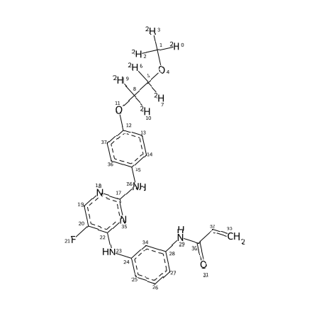 [2H]C([2H])([2H])OC([2H])([2H])C([2H])([2H])Oc1ccc(Nc2ncc(F)c(Nc3cccc(NC(=O)C=C)c3)n2)cc1